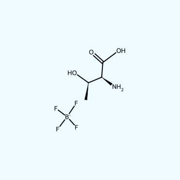 C[C@@H](O)[C@H](N)C(=O)O.F[B-](F)(F)F